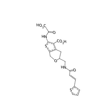 O=C(C=Cc1cccs1)NCC1Cc2c(sc(NC(=O)C(=O)O)c2C(=O)O)CO1